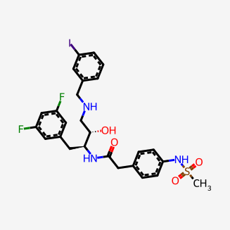 CS(=O)(=O)Nc1ccc(CC(=O)N[C@@H](Cc2cc(F)cc(F)c2)[C@@H](O)CNCc2cccc(I)c2)cc1